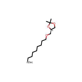 CCCCCCCCCCCCCCCCCCOC[C@@H]1COC(C)(C)O1